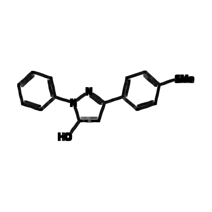 CSc1ccc(-c2cc(O)n(-c3ccccc3)n2)cc1